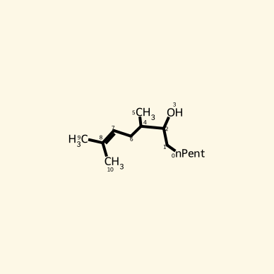 CCCCCCC(O)C(C)CC=C(C)C